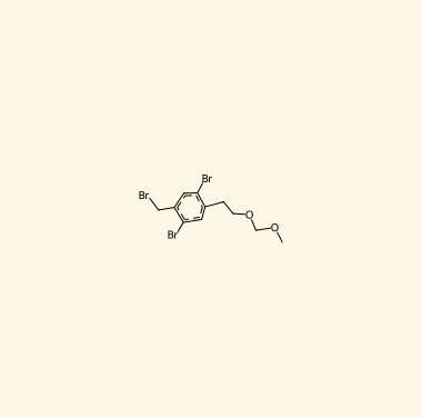 COCOCCc1cc(Br)c(CBr)cc1Br